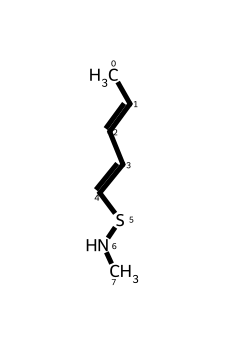 CC=CC=CSNC